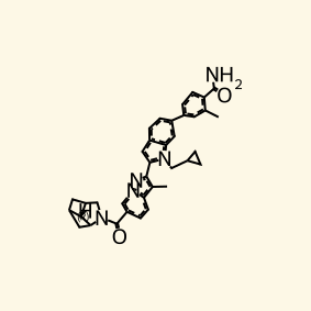 Cc1cc(-c2ccc3cc(-c4nn5cc(C(=O)N6CC7CC8CC6[C@H]87)ccc5c4C)n(CC4CC4)c3c2)ccc1C(N)=O